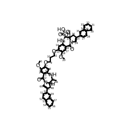 COc1cc2c(cc1OCCCOc1cc3c(cc1OC)C(=O)N1C=C(c4ccc5ccccc5c4)C[C@H]1C(S(=O)(=O)O)N3)NC(C)[C@@H]1CC(c3ccc4ccccc4c3)=CN1C2=O